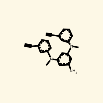 C#Cc1cccc(N(C)c2cc(N)cc(N(C)c3cccc(C#C)c3)c2)c1